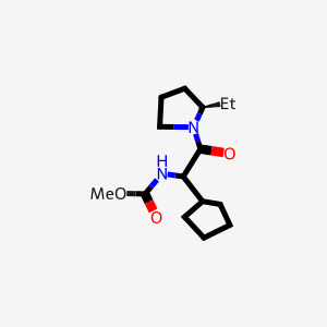 CC[C@@H]1CCCN1C(=O)C(NC(=O)OC)C1CCCC1